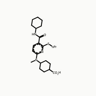 CCCSc1nc(N(C)C2CCC(C(=O)O)CC2)ccc1C(=O)NC1CCCCC1